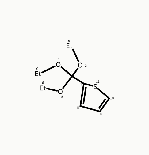 CCOC(OCC)(OCC)c1cccs1